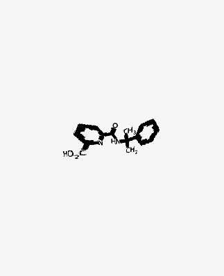 CC(C)(NC(=O)c1cccc(C(=O)O)n1)c1ccccc1